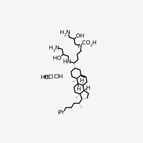 CC(C)CCC[C@@H](C)[C@H]1CC[C@H]2[C@@H]3CC=C4C[C@@H](C(CCCN(CC(O)CN)C(=O)O)NCC(O)CN)CC[C@]4(C)[C@H]3CC[C@]12C.Cl.Cl.Cl